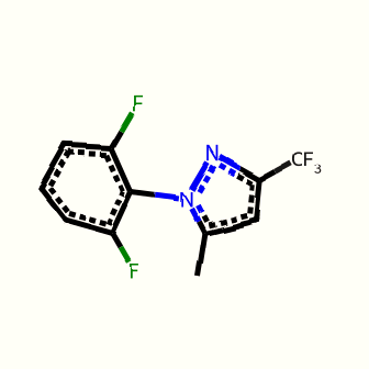 Cc1cc(C(F)(F)F)nn1-c1c(F)cccc1F